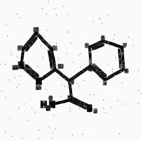 NC(=S)C(c1ccccc1)c1cccnn1